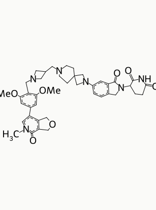 COc1cc(-c2cn(C)c(=O)c3c2COC3)cc(OC)c1CN1CC(CN2CCC3(CC2)CN(c2ccc4c(c2)C(=O)N(C2CCC(=O)NC2=O)C4)C3)C1